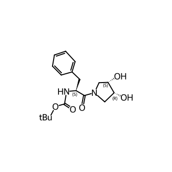 CC(C)(C)OC(=O)N[C@@H](Cc1ccccc1)C(=O)N1C[C@@H](O)[C@@H](O)C1